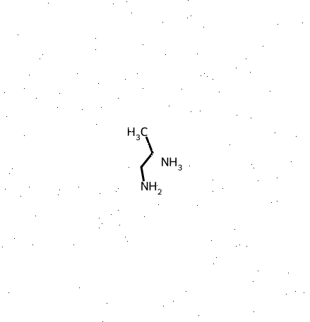 CCCN.N